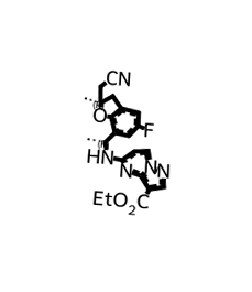 CCOC(=O)c1cnn2ccc(N[C@H](C)c3cc(F)cc4c3O[C@@](C)(CC#N)C4)nc12